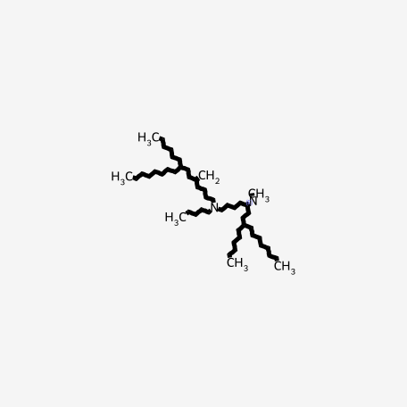 C=C(CCCCN(CCCCC)CCCC/C(CCC(CCCCCC)CCCCCCCC)=N\C)CCC(CCCCCC)CCCCCCCC